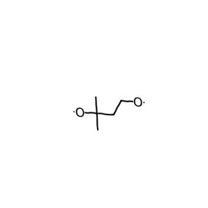 CC(C)([O])CC[O]